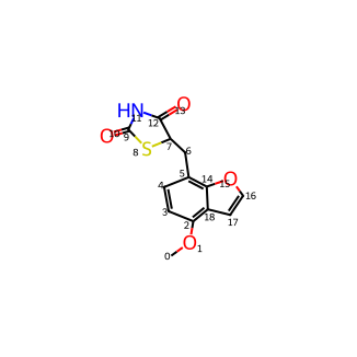 COc1ccc(CC2SC(=O)NC2=O)c2occc12